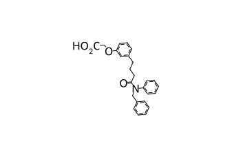 O=C(O)COc1cccc(CCCC(=O)N(Cc2ccccc2)c2ccccc2)c1